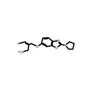 NC/C(=C\F)COc1ccc2nc(N3CCCC3)oc2c1